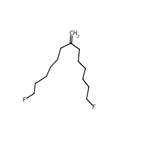 C=C(CCCCCCF)CCCCCCF